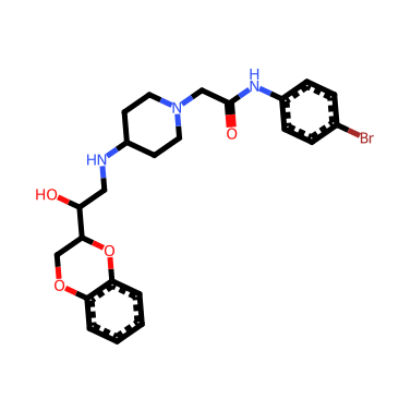 O=C(CN1CCC(NCC(O)C2COc3ccccc3O2)CC1)Nc1ccc(Br)cc1